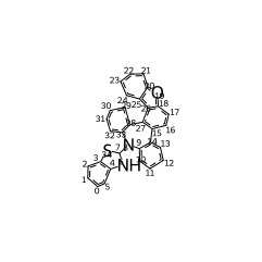 c1ccc2c(c1)NC(N1c3ccccc3-c3ccc4oc5ccccc5c4c3-c3ccccc31)S2